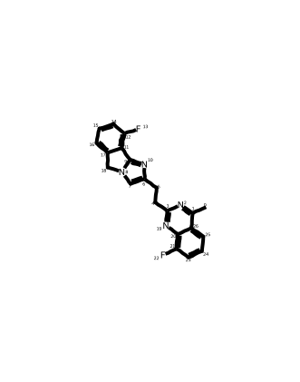 Cc1nc(CCc2cn3c(n2)-c2c(F)cccc2C3)nc2c(F)cccc12